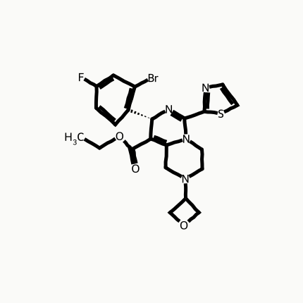 CCOC(=O)C1=C2CN(C3COC3)CCN2C(c2nccs2)=N[C@H]1c1ccc(F)cc1Br